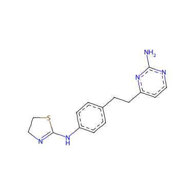 Nc1nccc(CCc2ccc(NC3=NCCS3)cc2)n1